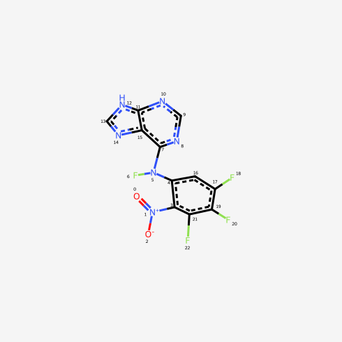 O=[N+]([O-])c1c(N(F)c2ncnc3[nH]cnc23)cc(F)c(F)c1F